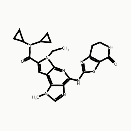 CCn1c(C(=O)N(C2CC2)C2CC2)cc2c3c(ncn3C)c(Nc3nc4c(s3)C(=O)NCC4)nc21